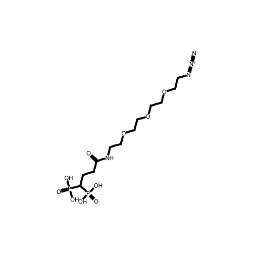 [N-]=[N+]=NCCOCCOCCOCCNC(=O)CCC(P(=O)(O)O)P(=O)(O)O